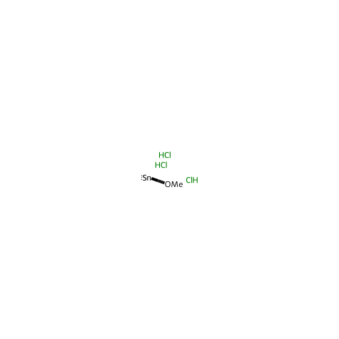 C[O][Sn].Cl.Cl.Cl